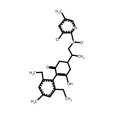 CCc1cc(C)cc(CC)c1C1=C(O)CC(C(C)C[S+]([O-])c2ncc(C)cc2Cl)CC1=O